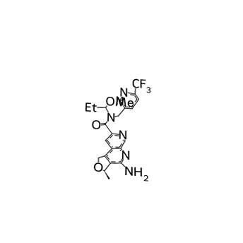 CCC(OC)N(Cc1ccc(C(F)(F)F)nn1)C(=O)c1cc2c3c(c(N)nc2cn1)[C@@H](C)OC3